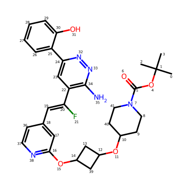 CC(C)(C)OC(=O)N1CCC(OC2CC(Oc3cc(C=C(F)c4cc(-c5ccccc5O)nnc4N)ccn3)C2)CC1